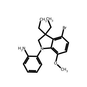 CCC1(CC)CN(c2ccccc2N)c2c(OC)ccc(Br)c21